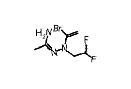 C=C(Br)N(CC(F)F)/N=C(/C)N